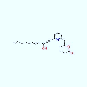 CCCCCC=CCC(O)C#Cc1cccc(CC2CCCC(=O)O2)n1